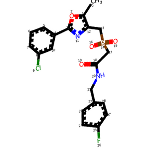 Cc1oc(-c2cccc(Cl)c2)nc1CS(=O)(=O)CC(=O)NCc1ccc(F)cc1